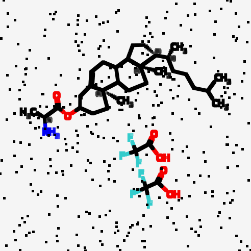 CC(C)CCC[C@@H](C)[C@H]1CCC2C3CC=C4CC(OC(=O)[C@H](C)N)CC[C@]4(C)C3CC[C@@]21C.O=C(O)C(F)(F)F.O=C(O)C(F)(F)F